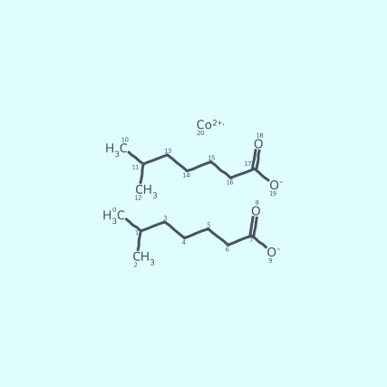 CC(C)CCCCC(=O)[O-].CC(C)CCCCC(=O)[O-].[Co+2]